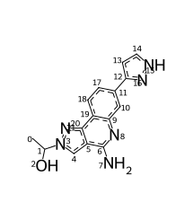 CC(O)n1cc2c(N)nc3cc(-c4cc[nH]n4)ccc3c2n1